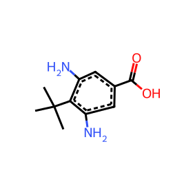 CC(C)(C)c1c(N)cc(C(=O)O)cc1N